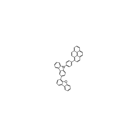 c1cc2ccc3ccc(-c4ccc(-n5c6ccccc6c6cc(-c7cccc8c7oc7ccccc78)ccc65)cc4)c4ccc(c1)c2c34